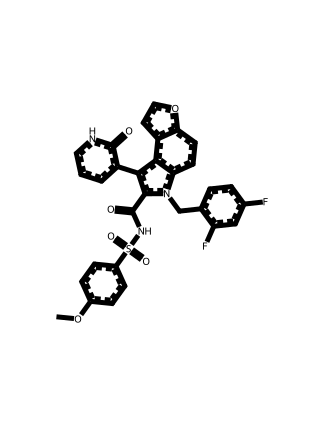 COc1ccc(S(=O)(=O)NC(=O)c2c(-c3ccc[nH]c3=O)c3c4ccoc4ccc3n2Cc2ccc(F)cc2F)cc1